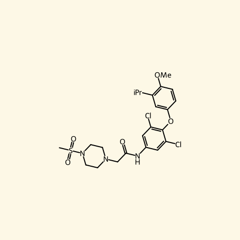 COc1ccc(Oc2c(Cl)cc(NC(=O)CN3CCN(S(C)(=O)=O)CC3)cc2Cl)cc1C(C)C